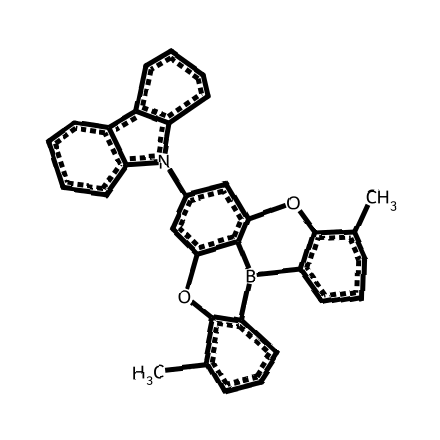 Cc1cccc2c1Oc1cc(-n3c4ccccc4c4ccccc43)cc3c1B2c1cccc(C)c1O3